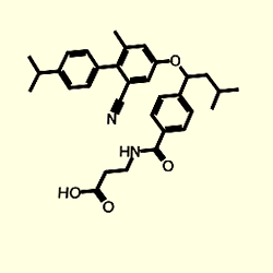 Cc1cc(OC(CC(C)C)c2ccc(C(=O)NCCC(=O)O)cc2)cc(C#N)c1-c1ccc(C(C)C)cc1